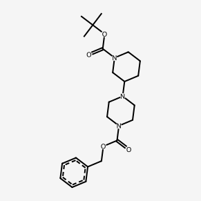 CC(C)(C)OC(=O)N1CCCC(N2CCN(C(=O)OCc3ccccc3)CC2)C1